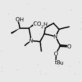 CC1CCC(C(C)N(C)[C@H](C(=O)O)[C@@H](C)O)N1C(=O)OC(C)(C)C